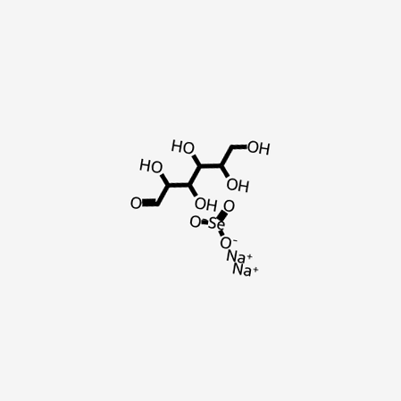 O=CC(O)C(O)C(O)C(O)CO.O=[Se]([O-])[O-].[Na+].[Na+]